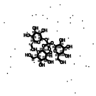 O=P(O[C@H]1O[C@H](CO)[C@@H](O)[C@H](O)[C@@H]1O)(O[C@H]1O[C@H](CO)[C@@H](O)[C@H](O)[C@@H]1O)O[C@H]1O[C@H](CO)[C@@H](O)[C@H](O)[C@@H]1O